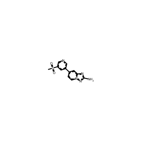 CS(=O)(=O)c1cncc(-c2ccn3nc(N)nc3c2)c1